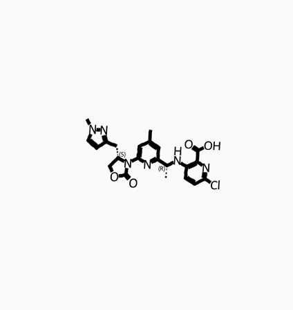 Cc1cc([C@@H](C)Nc2ccc(Cl)nc2C(=O)O)nc(N2C(=O)OC[C@@H]2Cc2ccn(C)n2)c1